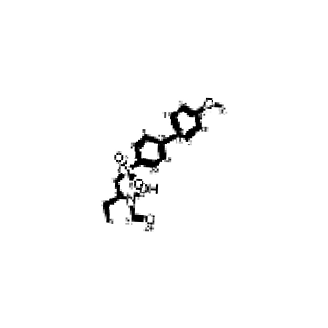 CCC(CS(=O)(=O)c1ccc(-c2ccc(OC)cc2)cc1)N(O)C=O